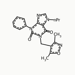 CCCn1cnc2c1c(=O)n(Cc1c(C)noc1C)c(=O)n2-c1ccccc1